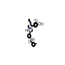 C=C/C=C/C(=N\C(=C/C)N[C@@H](CC)c1cccc(NC(=O)c2cccc(C)c2)c1)c1ccc(O)c(OC)c1